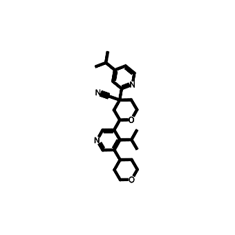 CC(C)c1ccnc(C2(C#N)CCOC(c3cncc(C4CCOCC4)c3C(C)C)C2)c1